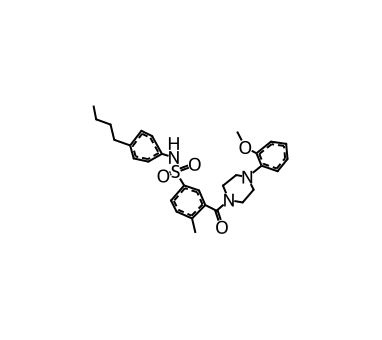 CCCCc1ccc(NS(=O)(=O)c2ccc(C)c(C(=O)N3CCN(c4ccccc4OC)CC3)c2)cc1